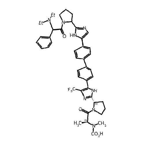 CCN(CC)C(C(=O)N1CCCC1c1ncc(-c2ccc(-c3ccc(-c4[nH]c([C@@H]5CCCN5C(=O)[C@H](C)N(C)C(=O)O)nc4C(F)(F)F)cc3)cc2)[nH]1)c1ccccc1